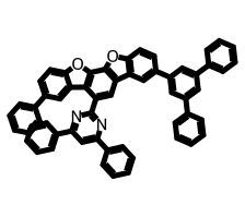 c1ccc(-c2cc(-c3ccccc3)cc(-c3ccc4oc5c(cc(-c6nc(-c7ccccc7)cc(-c7ccccc7)n6)c6c7cc(-c8ccccc8)ccc7oc56)c4c3)c2)cc1